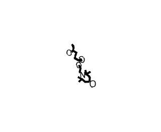 CCC(=O)CCC(=O)OCCN1C(C)(C)CC(OC)CC1(C)C